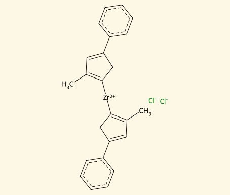 CC1=[C]([Zr+2][C]2=C(C)C=C(c3ccccc3)C2)CC(c2ccccc2)=C1.[Cl-].[Cl-]